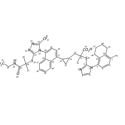 Cc1ccc(-n2ccnc2SC(C)(CC2CC2c2ccc(-n3c(SC(C)(C)C(=O)NCC(=O)O)nnc3C(F)(F)F)c3ccccc23)C(=O)O)c2c1CCCC2